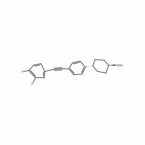 CCCCCC[C@H]1CC[C@H](c2ccc(C#Cc3ccc(F)c(F)c3)cc2)CC1